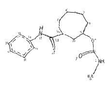 CCNC(=O)OC1CCCCC(C(=S)Nc2ccccc2)C1